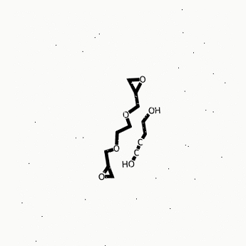 C(COCC1CO1)OCC1CO1.OCCCCO